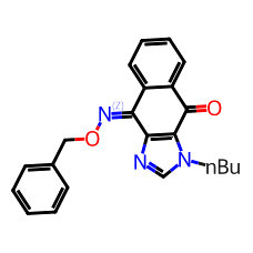 CCCCn1cnc2c1C(=O)c1ccccc1/C2=N/OCc1ccccc1